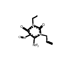 C=CCn1c(N)c(N=O)c(=O)n(CC)c1=O